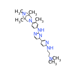 Cc1cc(Nc2nccc(-c3ccc(NCCCN(C)C)nc3)n2)ccc1N1CC2(C)CN(C)CC(C)(C1)C2